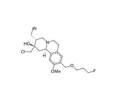 COc1cc2c(cc1COCCCF)CCN1C[C@@H](CC(C)C)[C@@](O)(CCl)C[C@H]21